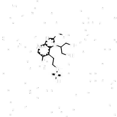 CCC(CC)n1c(OC)nc2ncc(Cl)c(CCNS(C)(=O)=O)c21